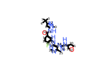 Cn1nc(C(C)(C)C)cc1NC(=O)c1ccc(F)c(Nc2ncnc3cnc(NC4CCOC4)nc23)c1